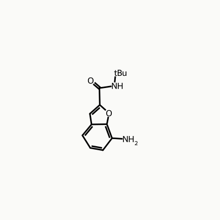 CC(C)(C)NC(=O)c1cc2cccc(N)c2o1